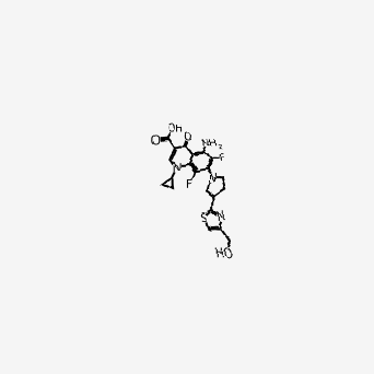 Nc1c(F)c(N2CCC(c3nc(CO)cs3)C2)c(F)c2c1c(=O)c(C(=O)O)cn2C1CC1